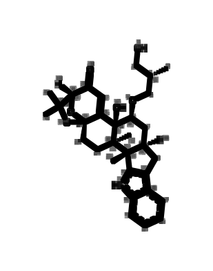 C[C@@H](CO)CO[C@H]1C[C@H]2Cc3c([nH]c4ccccc34)[C@]2(C)[C@@]2(C)CC[C@@]34O[C@@H](C(=O)C=C3[C@]12O)C(C)(C)O4